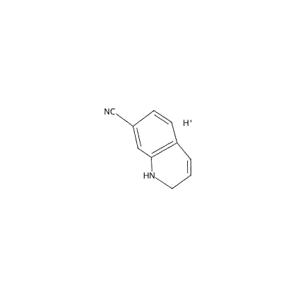 N#Cc1ccc2c(c1)NCC=C2.[H+]